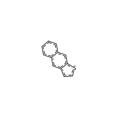 c1ccc2cc3sccc3cc2c1